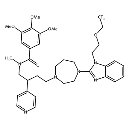 COc1cc(C(=O)N(C)CC(CCN2CCCN(c3nc4ccccc4n3CCOCC(F)(F)F)CC2)c2ccncc2)cc(OC)c1OC